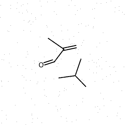 C=C(C)C=O.CC(C)C